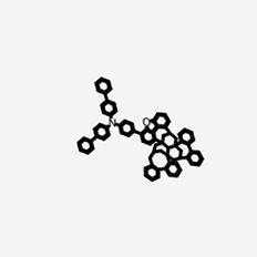 c1ccc(-c2ccc(N(c3ccc(-c4ccccc4)cc3)c3ccc(-c4ccc5c6c4oc4cccc(c46)C4CC67CC(CC89CC(Cc%10ccccc%10-c%10ccccc%108)CC5(C4)C96)c4ccccc4-c4ccccc47)cc3)cc2)cc1